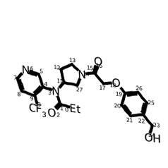 CCC(=O)N(c1cnccc1C(F)(F)F)C1CCN(C(=O)COc2ccc(CO)cc2)C1